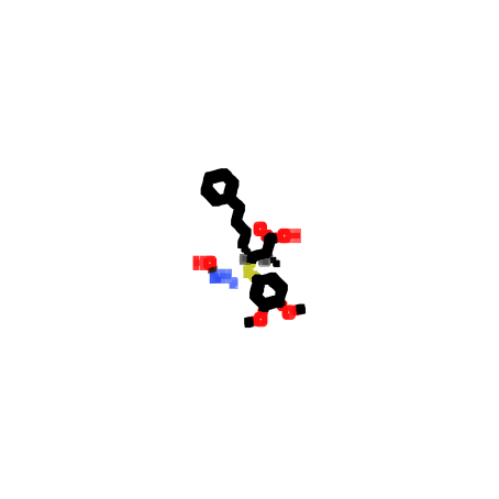 COc1ccc(S[C@H](CCCCc2ccccc2)[C@@H](C)C(=O)O)cc1OC.NO